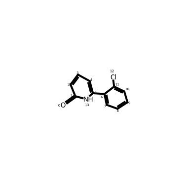 O=c1cccc(-c2ccccc2Cl)[nH]1